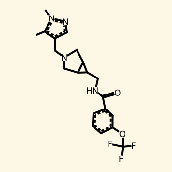 Cc1c(CN2CC3C(CNC(=O)c4cccc(OC(F)(F)F)c4)C3C2)cnn1C